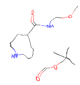 CC(C)(C)OC=O.COCNC(=O)C1CCNCC1